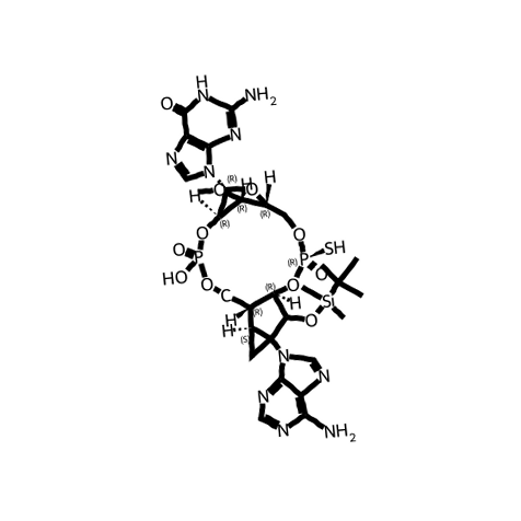 CO[C@H]1[C@H]2OP(=O)(O)OC[C@@H]3[C@@H](O[P@](=O)(S)OC[C@H]1O[C@H]2n1cnc2c(=O)[nH]c(N)nc21)C(O[Si](C)(C)C(C)(C)C)C1(n2cnc4c(N)ncnc42)C[C@@H]31